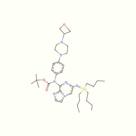 CCCC[SH](CCCC)(CCCC)=Nc1cn2ccnc2c(N(C(=O)OC(C)(C)C)c2ccc(N3CCN(C4COC4)CC3)cc2)n1